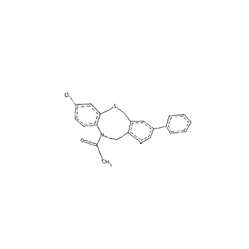 CC(=O)N1Cc2ccc(-c3ccccc3)cc2CSc2cc(Cl)ccc21